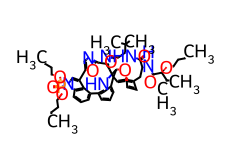 CCCCO[C@H](C(=O)N[C@H]1Cc2ccc3c(c2)C24c5cccc(c5NC2O3)-c2cccc3c2c(cn3P(=O)(OCCCC)OCCCC)-c2cnc(o2)-c2nc(oc24)C(C(C)C)NC1=O)C(C)C